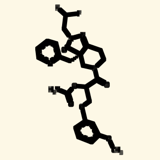 COc1cccc(OCC(OC(N)=O)C(=O)N2CCC3=NN(CC(F)F)C(=O)[C@]3(Cc3ccccn3)C2)c1